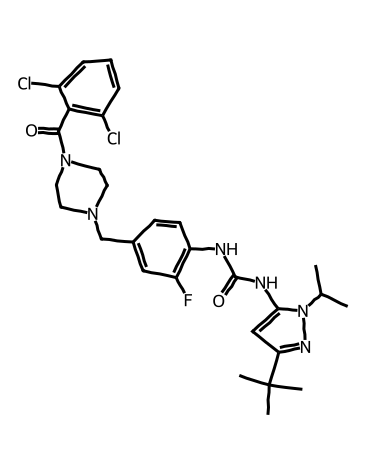 CC(C)n1nc(C(C)(C)C)cc1NC(=O)Nc1ccc(CN2CCN(C(=O)c3c(Cl)cccc3Cl)CC2)cc1F